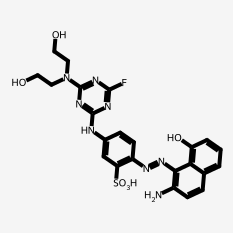 Nc1ccc2cccc(O)c2c1/N=N/c1ccc(Nc2nc(F)nc(N(CCO)CCO)n2)cc1S(=O)(=O)O